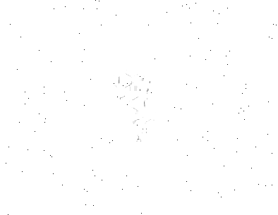 CS(=O)(=O)Nc1cc2scc(NC=O)c(=O)c2cc1C(=O)c1ccccc1